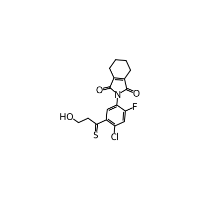 O=C1C2=C(CCCC2)C(=O)N1c1cc(C(=S)CCO)c(Cl)cc1F